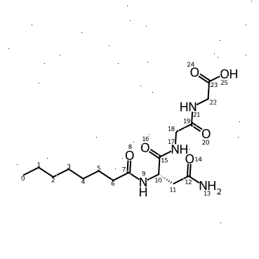 CCCCCCCC(=O)N[C@@H](CC(N)=O)C(=O)NCC(=O)NCC(=O)O